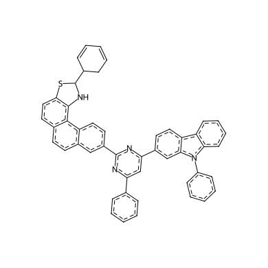 C1=CCC(C2Nc3c(ccc4ccc5cc(-c6nc(-c7ccccc7)cc(-c7ccc8c9ccccc9n(-c9ccccc9)c8c7)n6)ccc5c34)S2)C=C1